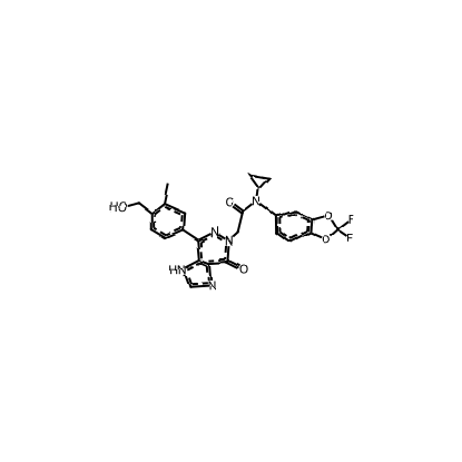 Cc1cc(-c2nn(CC(=O)N(c3ccc4c(c3)OC(F)(F)O4)C3CC3)c(=O)c3nc[nH]c23)ccc1CO